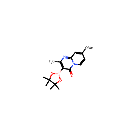 COc1ccn2c(=O)c(B3OC(C)(C)C(C)(C)O3)c(C(F)(F)F)nc2c1